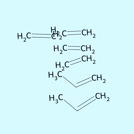 C=C.C=C.C=C.C=C.C=CC.C=CC